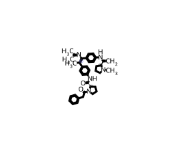 C=C(Nc1ccc(/C(N=C(C)C)=C(/C)c2ccc(NC(=O)[C@@H]3CCCN3C(=O)Cc3ccccc3)cc2)cc1)[C@@H]1CCCN1C